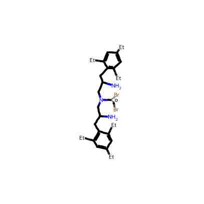 CCc1cc(CC)c(CC(N)C[N](CC(N)Cc2c(CC)cc(CC)cc2CC)[Co]([Br])[Br])c(CC)c1